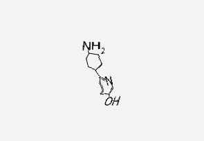 NC1CCC(c2ccc(O)cn2)CC1